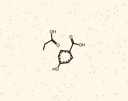 CCC(=O)O.O=C(O)c1ccc(O)cc1